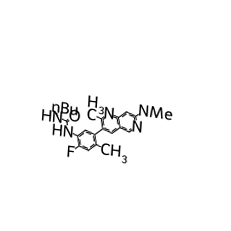 CCCCNC(=O)Nc1cc(-c2cc3cnc(NC)cc3nc2C)c(C)cc1F